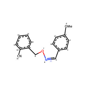 COc1ccc(/[C]=N\OCc2ccccc2C#N)cc1